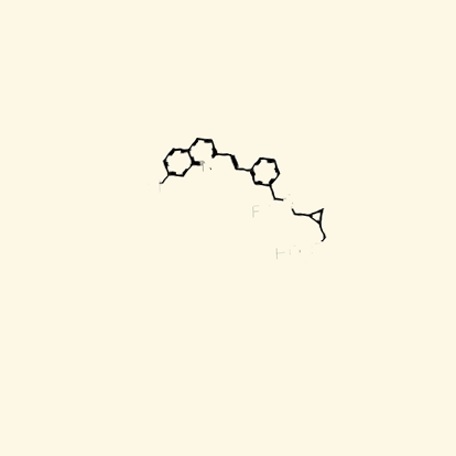 CC[C@@H](SCC1CC1CC(=O)O)c1cccc(C=Cc2ccc3ccc(Cl)cc3n2)c1